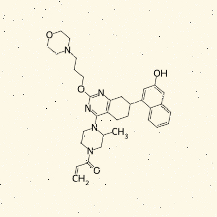 C=CC(=O)N1CCN(c2nc(OCCCN3CCOCC3)nc3c2CCC(c2cc(O)cc4ccccc24)C3)C(C)C1